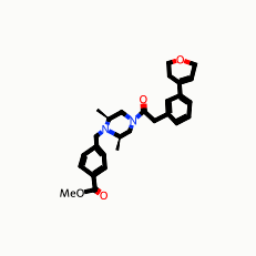 COC(=O)c1ccc(CN2[C@H](C)CN(C(=O)Cc3cccc(C4=CCOCC4)c3)C[C@@H]2C)cc1